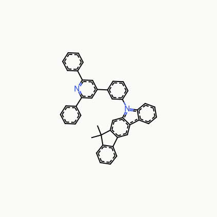 CC1(C)c2ccccc2-c2cc3c4ccccc4n(-c4cccc(-c5cc(-c6ccccc6)nc(-c6ccccc6)c5)c4)c3cc21